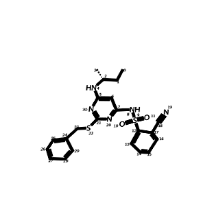 CC[C@@H](C)Nc1cc(NS(=O)(=O)c2ccccc2C#N)nc(SCc2ccccc2)n1